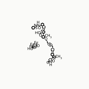 Cc1c(OCCCN2CCN(CC3CCN(c4ccc5c(C6CCC(=O)NC6=O)nn(C)c5c4)CC3)CC2)cccc1-c1ccc(N2CCc3cccc(C(=O)Nc4nc5ccccc5s4)c3C2)nc1C(=O)O.O=C(O)C(F)(F)F.O=C(O)C(F)(F)F